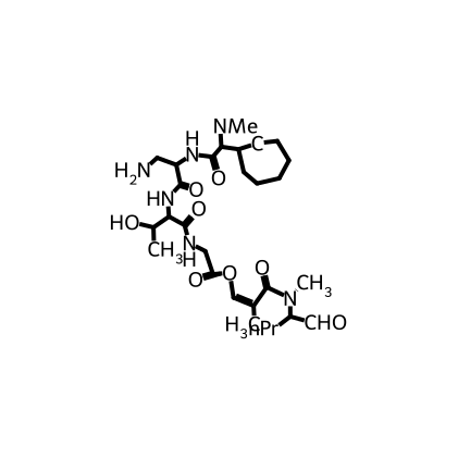 CCCC(C=O)N(C)C(=O)/C(C)=C\OC(=O)CNC(=O)C(NC(=O)C(CN)NC(=O)C(NC)C1CCCCCC1)C(C)O